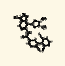 CC[C@H](C)n1ncc2c(N3C[C@@H](C)[C@@H](N)C3)c(NC(=O)c3ccc(=O)n(-c4c(F)cccc4F)n3)ccc21